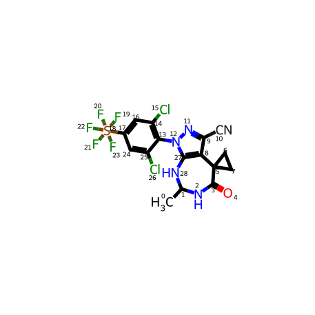 CC1NC(=O)C2(CC2)c2c(C#N)nn(-c3c(Cl)cc(S(F)(F)(F)(F)F)cc3Cl)c2N1